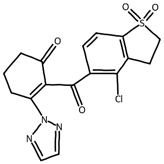 O=C1CCCC(n2nccn2)=C1C(=O)c1ccc2c(c1Cl)CCS2(=O)=O